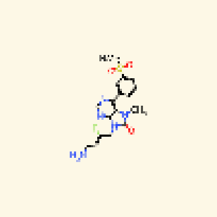 CNS(=O)(=O)c1cccc(-c2ncnc3c2n(C)c(=O)n3CC(F)=CCN)c1